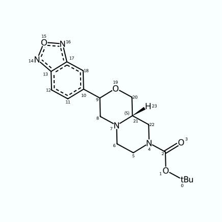 CC(C)(C)OC(=O)N1CCN2CC(c3ccc4nonc4c3)OC[C@@H]2C1